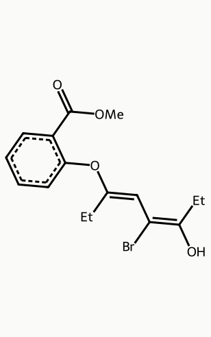 CC/C(O)=C(Br)\C=C(/CC)Oc1ccccc1C(=O)OC